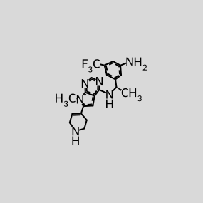 C[C@@H](Nc1ncnc2c1cc(C1=CCNCC1)n2C)c1cc(N)cc(C(F)(F)F)c1